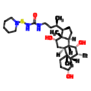 CC[C@H]1[C@@H](O)[C@@H]2[C@H](C[C@H](O)[C@]3(C)[C@@H]([C@H](C)CCNC(=O)NSN4CCCCC4)CC[C@@H]23)[C@@]2(C)CC[C@@H](O)C[C@@H]12